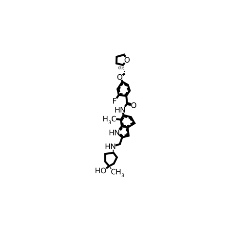 Cc1c(NC(=O)c2ccc(OC[C@@H]3CCCO3)cc2F)ccc2cc(CN[C@H]3CC[C@](C)(O)CC3)[nH]c12